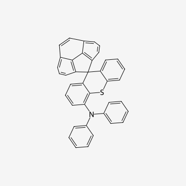 c1ccc(N(c2ccccc2)c2cccc3c2Sc2ccccc2C32c3cccc4ccc5cccc2c5c34)cc1